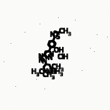 Cc1cnc(-c2ccc(-c3cc4nnn(C5CC(C)(C)NC(C)(C)C5)c4nn3)c(O)c2)s1.Cl